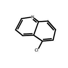 Clc1cc[c]c2ncccc12